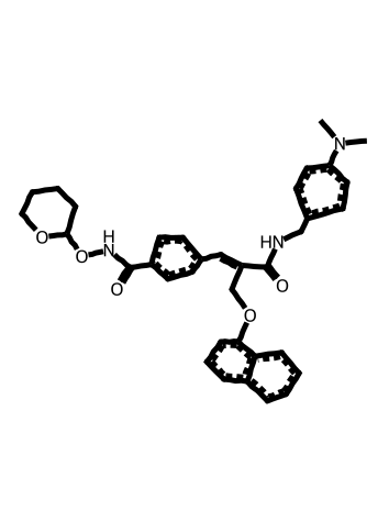 CN(C)c1ccc(CNC(=O)/C(=C/c2ccc(C(=O)NOC3CCCCO3)cc2)COc2cccc3ccccc23)cc1